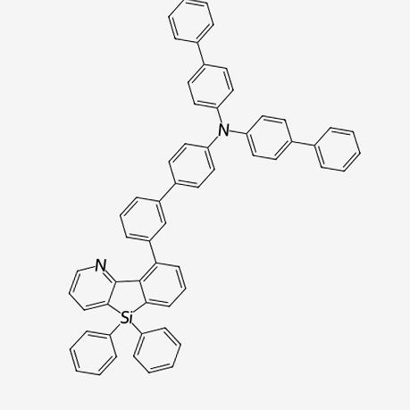 c1ccc(-c2ccc(N(c3ccc(-c4ccccc4)cc3)c3ccc(-c4cccc(-c5cccc6c5-c5ncccc5[Si]6(c5ccccc5)c5ccccc5)c4)cc3)cc2)cc1